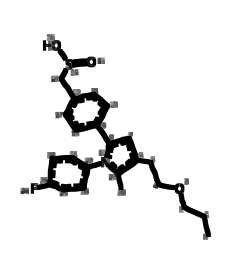 CCCOCCc1cc(-c2ccc(CS(=O)O)cc2)n(-c2ccc(F)cc2)c1C